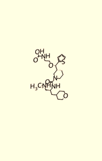 CNC[C@H](CC1CCOCC1)NC(=O)N1CCC[C@@H]([C@H](OCCNC(=O)O)c2cccs2)C1